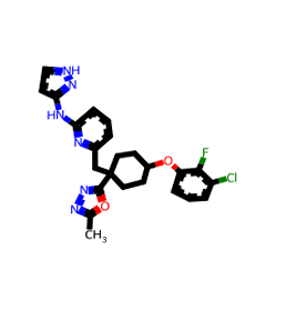 Cc1nnc(C2(Cc3cccc(Nc4cc[nH]n4)n3)CCC(Oc3cccc(Cl)c3F)CC2)o1